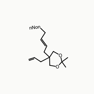 C=CCC1(C/C=C/CCCCCCCCCC)COC(C)(C)OC1